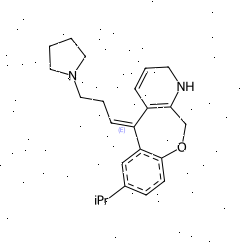 CC(C)c1ccc2c(c1)/C(=C/CCN1CCCC1)C1=C(CO2)NCC=C1